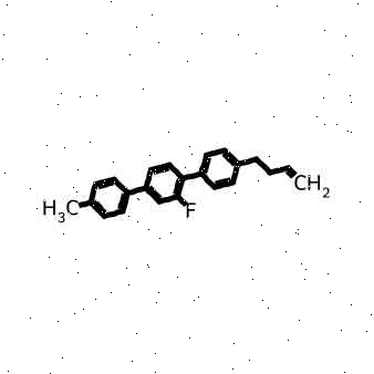 C=CCCc1ccc(-c2ccc(-c3ccc(C)cc3)cc2F)cc1